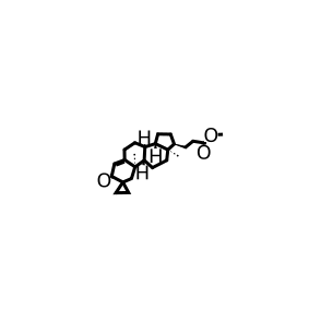 COC(=O)CC[C@@H]1CC[C@H]2[C@@H]3CCC4=CC(=O)C5(CC5)C[C@]4(C)[C@H]3CC[C@]12C